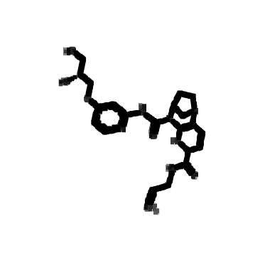 C=CCNC(=O)C1C=CC2=C(N1)N(C(=O)Nc1cc(OC[C@H](O)CO)ccn1)C1CCN2C1